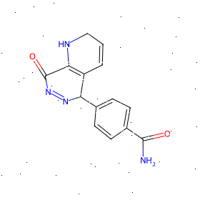 NC(=O)c1ccc(C2N=NC(=O)C3=C2C=CCN3)cc1